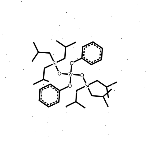 CC(C)C[Si](CC(C)C)(CC(C)C)[O][Zr]([O]c1ccccc1)([O]c1ccccc1)[O][Si](CC(C)C)(CC(C)C)CC(C)C